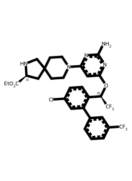 CCOC(=O)[C@@H]1CC2(CCN(c3cc(O[C@H](c4ccc(Cl)cc4-c4cccc(C(F)(F)F)c4)C(F)(F)F)nc(N)n3)CC2)CN1